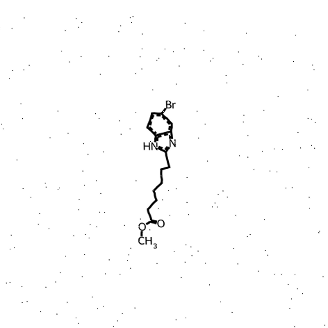 COC(=O)CCCCCCc1nc2cc(Br)ccc2[nH]1